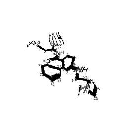 CC(C)C[C@H](NC(=O)c1ccc(NCc2ncc[nH]2)cc1-c1ccccc1)C(=O)O